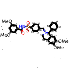 COc1cc(OC)cc(C(=O)NS(=O)(=O)c2ccc(CN3CCc4cc(OC)c(OC)cc4C3c3ccccc3)cc2)c1